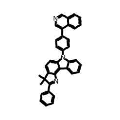 CC1(C)C(c2ccccc2)=Nc2c1ccc1c2c2ccccc2n1-c1ccc(-c2cncc3ccccc23)cc1